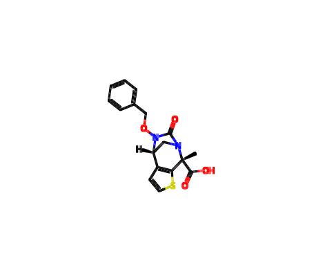 C[C@@]1(C(=O)O)c2sccc2[C@H]2CN1C(=O)N2OCc1ccccc1